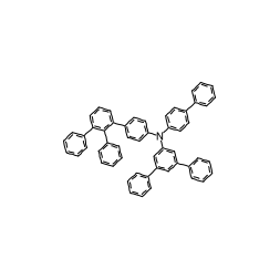 c1ccc(-c2ccc(N(c3ccc(-c4cccc(-c5ccccc5)c4-c4ccccc4)cc3)c3cc(-c4ccccc4)cc(-c4ccccc4)c3)cc2)cc1